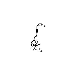 CCC#CCC[C@@H]1COC(C)(C)O1